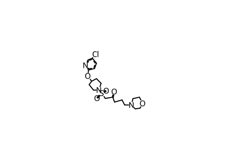 O=C(CCCN1CCOCC1)CS(=O)(=O)N1CCC(Oc2ccc(Cl)cn2)CC1